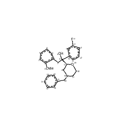 COc1ccccc1CC(O)(c1cccc(F)c1)[C@@H]1CN(Cc2ccccc2)CCO1